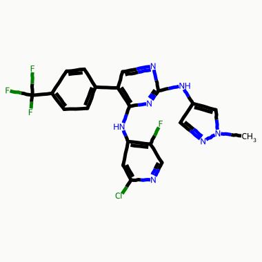 Cn1cc(Nc2ncc(-c3ccc(C(F)(F)F)cc3)c(Nc3cc(Cl)ncc3F)n2)cn1